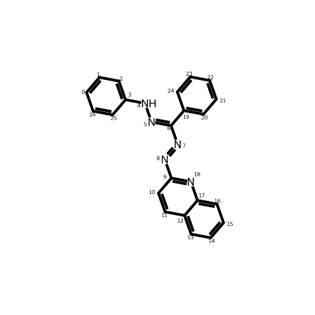 c1ccc(NN=C(N=Nc2ccc3ccccc3n2)c2ccccc2)cc1